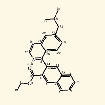 CCOC(=O)c1cc2ccccc2cc1-c1nccc2cc(CC(C)C)ccc12